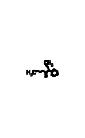 CCCCC(=S)[C](CCC)c1ccccc1